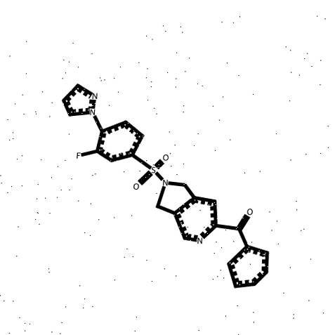 O=C(c1ccccc1)c1cc2c(cn1)CN(S(=O)(=O)c1ccc(-n3cccn3)c(F)c1)C2